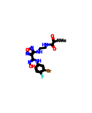 CNC(=O)C(=O)NCCNc1nonc1/C(=N/O)Nc1ccc(F)c(Br)c1